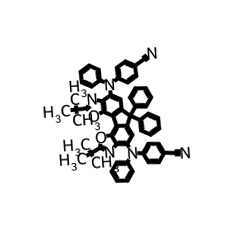 CC(C)(C)c1nc2c(N(c3ccccc3)c3ccc(C#N)cc3)cc3c(c2o1)-c1c(cc(N(c2ccccc2)c2ccc(C#N)cc2)c2nc(C(C)(C)C)oc12)C3(c1ccccc1)c1ccccc1